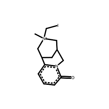 C[N+]1(CI)CC2CC(C1)c1cccc(=O)n1C2